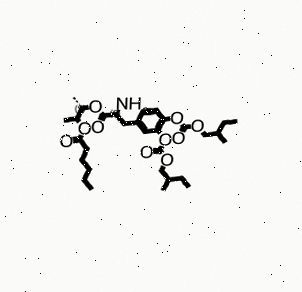 CCCCCC(=O)OC(C)[C@H](C)OC(=O)[C@@H](N)Cc1ccc(OC(=O)OCC(C)CC)c(OC(=O)OCC(C)CC)c1